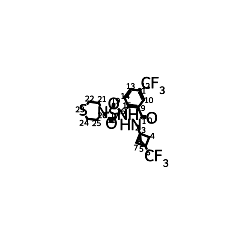 O=C(NC12CC(C(F)(F)F)(C1)C2)c1cc(C(F)(F)F)ccc1NS(=O)(=O)N1CCSCC1